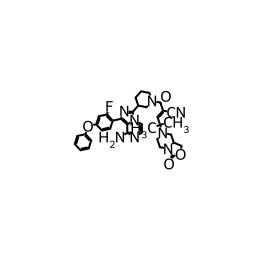 CC(C)(C=C(C#N)C(=O)N1CCCC(c2nc(-c3ccc(Oc4ccccc4)cc3F)c3c(N)nccn23)C1)N1CCN2C(=O)OCC2C1